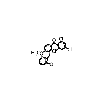 COc1ccc(C(=O)c2c(Cl)cc(Cl)cc2Cl)cc1Cn1ncccc1=O